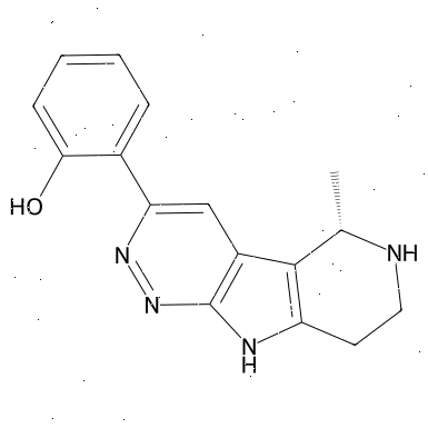 C[C@@H]1NCCc2[nH]c3nnc(-c4ccccc4O)cc3c21